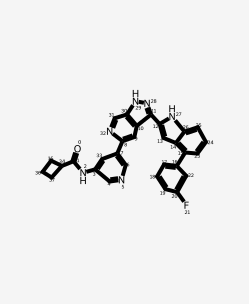 O=C(Nc1cncc(-c2cc3c(-c4cc5c(-c6cccc(F)c6)cccc5[nH]4)n[nH]c3cn2)c1)C1CCC1